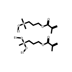 C=C(C)C(=O)OCCC[Si](C)(C)OCC.C=C(C)C(=O)OCCC[Si](C)(OCC)OCC